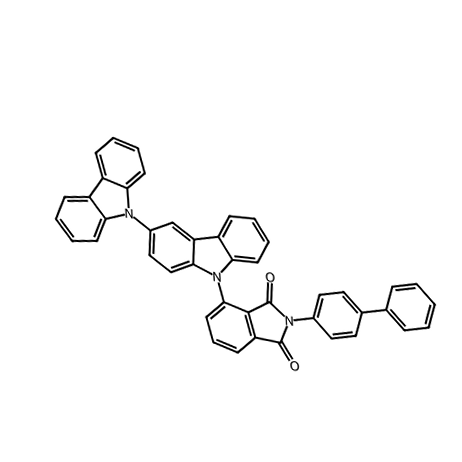 O=C1c2cccc(-n3c4ccccc4c4cc(-n5c6ccccc6c6ccccc65)ccc43)c2C(=O)N1c1ccc(-c2ccccc2)cc1